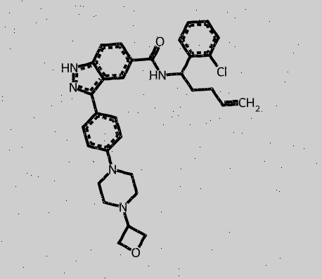 C=CCCC(NC(=O)c1ccc2[nH]nc(-c3ccc(N4CCN(C5COC5)CC4)cc3)c2c1)c1ccccc1Cl